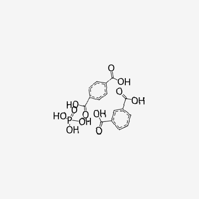 O=C(O)c1ccc(C(=O)O)cc1.O=C(O)c1cccc(C(=O)O)c1.O=P(O)(O)O